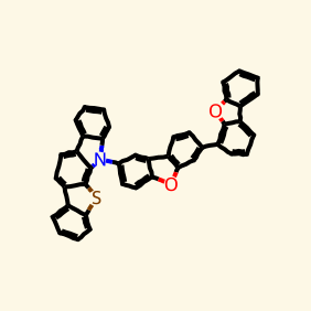 c1ccc2c(c1)oc1c(-c3ccc4c(c3)oc3ccc(-n5c6ccccc6c6ccc7c8ccccc8sc7c65)cc34)cccc12